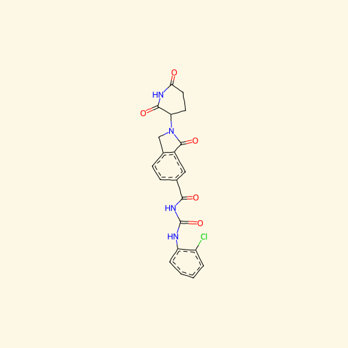 O=C1CCC(N2Cc3ccc(C(=O)NC(=O)Nc4ccccc4Cl)cc3C2=O)C(=O)N1